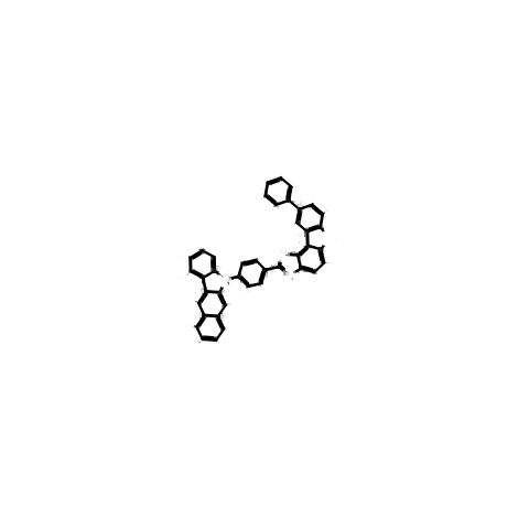 c1ccc(-c2ccc3sc4ccc5nc(-c6ccc(-n7c8ccccc8c8cc9ccccc9cc87)cc6)sc5c4c3c2)cc1